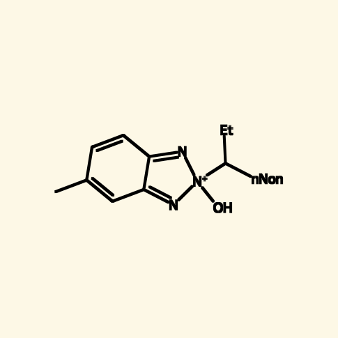 CCCCCCCCCC(CC)[N+]1(O)N=c2ccc(C)cc2=N1